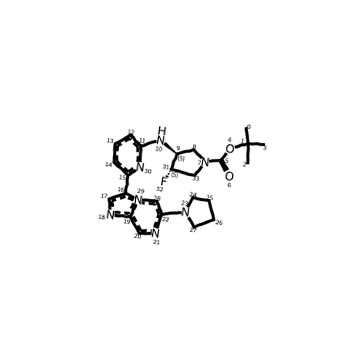 CC(C)(C)OC(=O)N1C[C@H](Nc2cccc(-c3cnc4cnc(N5CCCC5)cn34)n2)[C@@H](F)C1